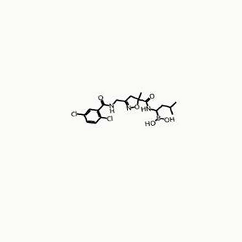 CC(C)CC(NC(=O)C1(C)CC(CNC(=O)c2cc(Cl)ccc2Cl)=NO1)B(O)O